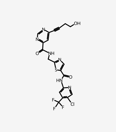 O=C(NCc1ncc(C(=O)Nc2cc(C(F)(F)F)c(Cl)cn2)s1)c1cc(C#CCCO)ncn1